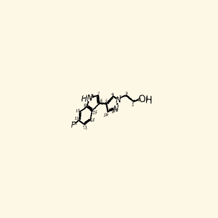 OCCn1cc(-c2c[nH]c3cc(F)ccc23)cn1